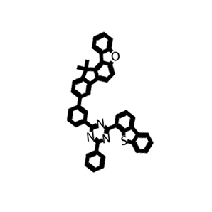 CC1(C)c2ccc(-c3cccc(-c4nc(-c5ccccc5)nc(-c5cccc6c5sc5ccccc56)n4)c3)cc2-c2ccc3oc4ccccc4c3c21